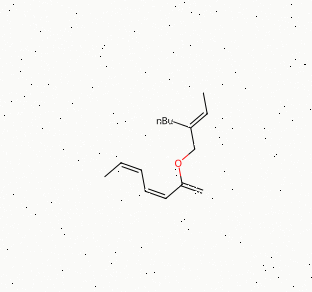 C=C(/C=C\C=C/C)OC/C(=C/C)CCCC